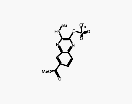 CCC(C)Nc1nc2cc(C(=O)OC)ccc2nc1OS(=O)(=O)C(F)(F)F